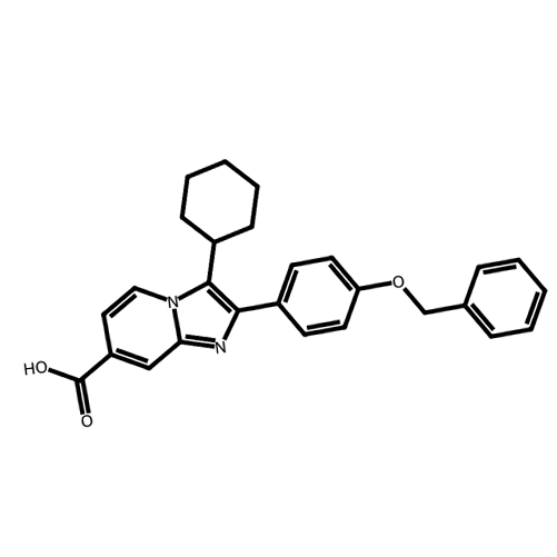 O=C(O)c1ccn2c(C3CCCCC3)c(-c3ccc(OCc4ccccc4)cc3)nc2c1